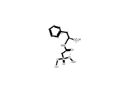 CCOP(=O)(CC(=O)N[C@@H](Cc1ccccc1)C(=O)O)OCC